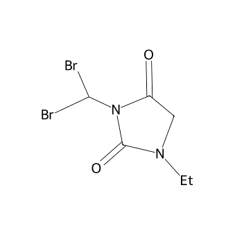 CCN1CC(=O)N(C(Br)Br)C1=O